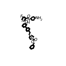 N[C@H]1CC[C@H](NC(=O)c2cc(F)cnc2Oc2cccc(-c3ccc(CCN4CCN(C(=O)OCc5ccccc5)CC4)cc3)c2)CC1